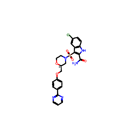 NC(=O)c1[nH]c2ccc(Cl)cc2c1S(=O)(=O)N1CCO[C@H](COc2ccc(-c3ncccn3)cc2)C1